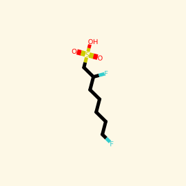 O=S(=O)(O)CC(F)CCCCCF